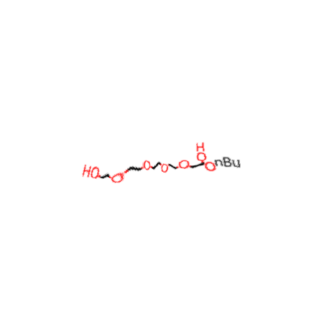 CCCCOC(O)COCCOCCOCCOCCO